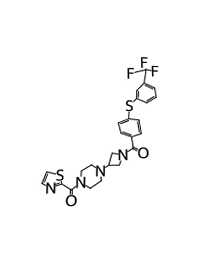 O=C(c1ccc(Sc2cccc(C(F)(F)F)c2)cc1)N1CC(N2CCN(C(=O)c3nccs3)CC2)C1